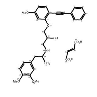 COc1ccc(C#Cc2ccccc2)c(OCC(O)CNC(C)Cc2ccc(OC)c(OC)c2)c1.O=C(O)/C=C/C(=O)O